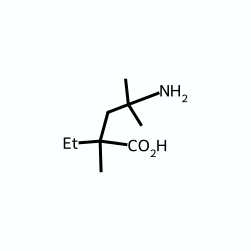 CCC(C)(CC(C)(C)N)C(=O)O